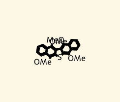 COc1c2ccccc2c(OC)c2c1sc1c(OC)c3ccccc3c(OC)c12